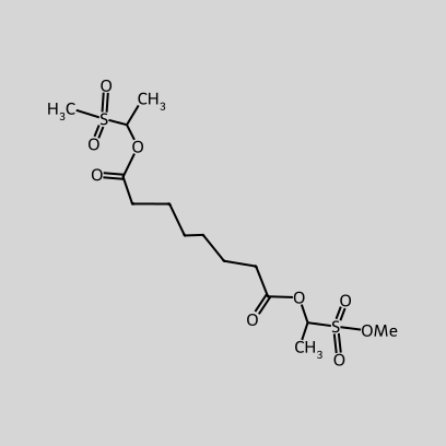 COS(=O)(=O)C(C)OC(=O)CCCCCCC(=O)OC(C)S(C)(=O)=O